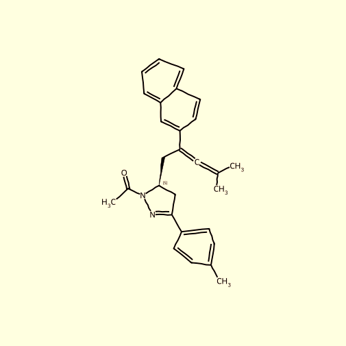 CC(=O)N1N=C(c2ccc(C)cc2)C[C@@H]1CC(=C=C(C)C)c1ccc2ccccc2c1